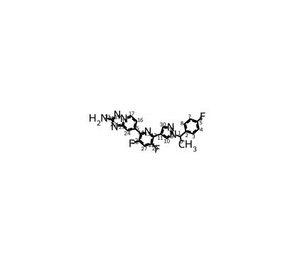 CC(c1ccc(F)cc1)n1cc(-c2nc(-c3ccn4nc(N)nc4c3)c(F)cc2F)cn1